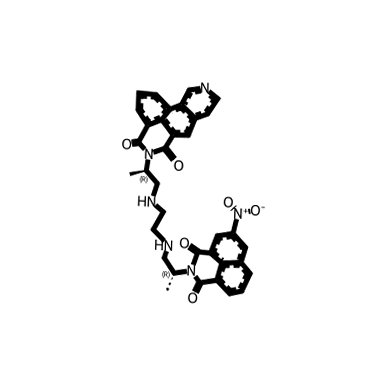 C[C@H](CNCCNC[C@@H](C)N1C(=O)c2cccc3c2c(cc2ccncc23)C1=O)N1C(=O)c2cccc3cc([N+](=O)[O-])cc(c23)C1=O